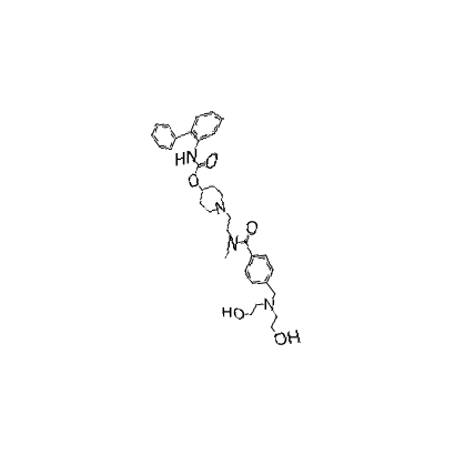 CN(CCN1CCC(OC(=O)Nc2ccccc2-c2ccccc2)CC1)C(=O)c1ccc(CN(CCO)CCO)cc1